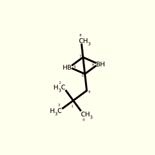 CC(C)(C)CC12BC1(C)B2